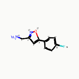 NCc1cc(-c2ccc(F)cc2)on1